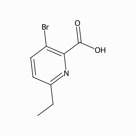 CCc1ccc(Br)c(C(=O)O)n1